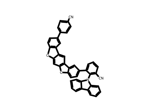 N#Cc1ccc(-c2ccc3oc4cc5oc6ccc(-c7cccc(C#N)c7-n7c8ccccc8c8ccccc87)cc6c5cc4c3c2)cc1